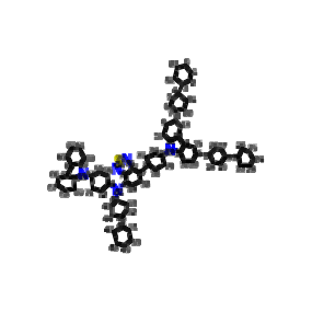 c1ccc(-c2ccc(-c3ccc4c(c3)c3cc(-c5ccc(-c6ccccc6)cc5)ccc3n4-c3ccc(-c4ccc(N(c5ccc(-c6ccccc6)cc5)c5ccc(-n6c7ccccc7c7ccccc76)cc5)c5nsnc45)cc3)cc2)cc1